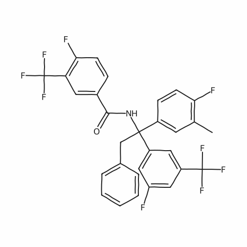 Cc1cc(C(Cc2ccccc2)(NC(=O)c2ccc(F)c(C(F)(F)F)c2)c2cc(F)cc(C(F)(F)F)c2)ccc1F